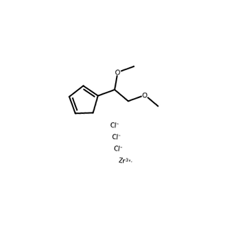 COCC(OC)C1=CC=CC1.[Cl-].[Cl-].[Cl-].[Zr+3]